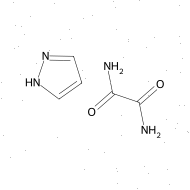 NC(=O)C(N)=O.c1cn[nH]c1